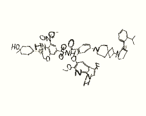 CCOc1nc2[nH]cc(F)c2cc1Oc1cc(N2CCC3(CC2)CC(N2CCC[C@@H]2c2ccccc2C(C)C)C3)ccc1C(=O)NS(=O)(=O)c1cc2c(c([N+](=O)[O-])c1)N[C@@H](C1CCC(C)(O)CC1)CO2